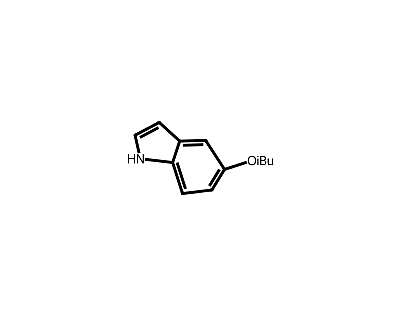 CC(C)COc1ccc2[nH]ccc2c1